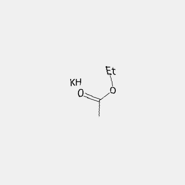 CCOC(C)=O.[KH]